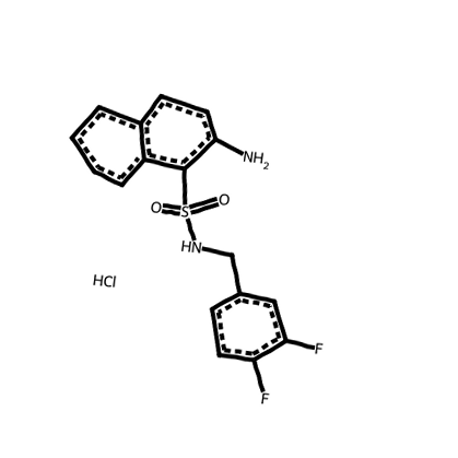 Cl.Nc1ccc2ccccc2c1S(=O)(=O)NCc1ccc(F)c(F)c1